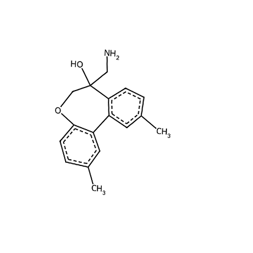 Cc1ccc2c(c1)-c1cc(C)ccc1C(O)(CN)CO2